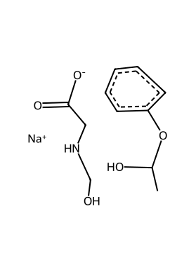 CC(O)Oc1ccccc1.O=C([O-])CNCO.[Na+]